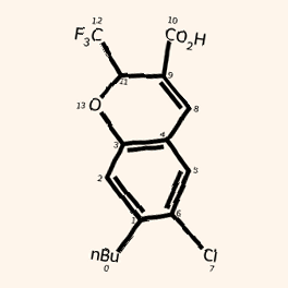 CCCCc1cc2c(cc1Cl)C=C(C(=O)O)C(C(F)(F)F)O2